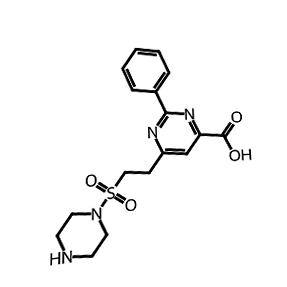 O=C(O)c1cc(CCS(=O)(=O)N2CCNCC2)nc(-c2ccccc2)n1